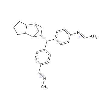 C/C=N/c1ccc(C(c2ccc(/C=N/C)cc2)C2CC3CC2C2CCCC32)cc1